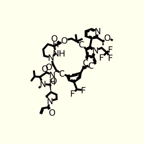 C=CC(=O)N1CC[C@H](C(=O)N(C)C(C(=O)N[C@H]2Cc3cc(cc(C(F)F)c3)-c3ccc4c(c3)c(c(-c3cccnc3[C@H](C)OC)n4CC(F)(F)F)CC(C)(C)COC(=O)[C@@H]3CCCN(N3)C2=O)C(C)C)C1